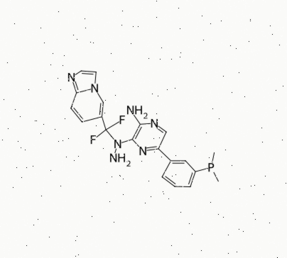 CP(C)c1cccc(-c2cnc(N)c(N(N)C(F)(F)c3ccc4nccn4c3)n2)c1